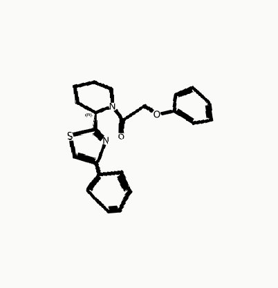 O=C(COc1ccccc1)N1CCCC[C@@H]1c1nc(-c2ccccc2)cs1